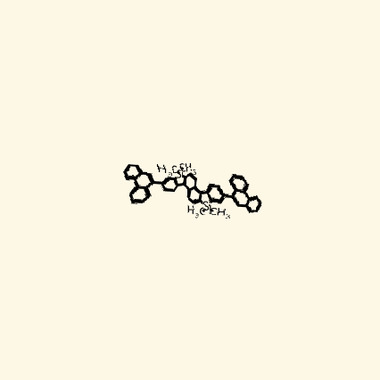 C[Si]1(C)c2cc(-c3cc4ccccc4c4ccccc34)ccc2-c2c1ccc1c3c(ccc21)[Si](C)(C)c1cc(-c2cc4ccccc4c4ccccc24)ccc1-3